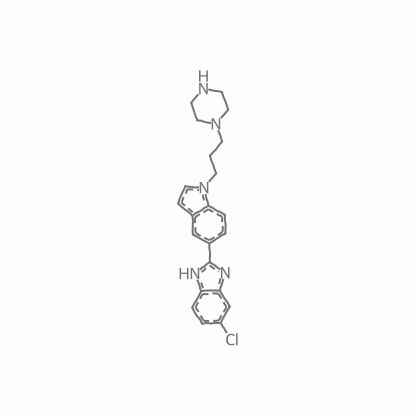 Clc1ccc2[nH]c(-c3ccc4c(ccn4CCCN4CCNCC4)c3)nc2c1